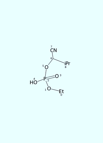 CCOP(=O)(O)OC(C#N)C(C)C